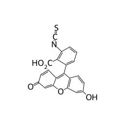 O=C(O)c1c(N=C=S)cccc1-c1c2ccc(=O)cc-2oc2cc(O)ccc12